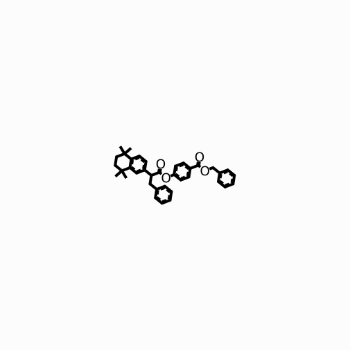 CC1(C)CCC(C)(C)c2cc(C(Cc3ccccc3)C(=O)Oc3ccc(C(=O)OCc4ccccc4)cc3)ccc21